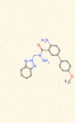 Nc1ccc(-c2ccc(OC(F)(F)F)cc2)cc1C(=O)N(N)Cn1nc2ccccc2n1